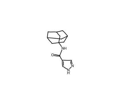 O=C(NC12CC3CC(CC(C3)C1)C2)c1cn[nH]c1